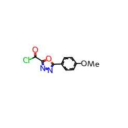 COc1ccc(-c2nnc(C(=O)Cl)o2)cc1